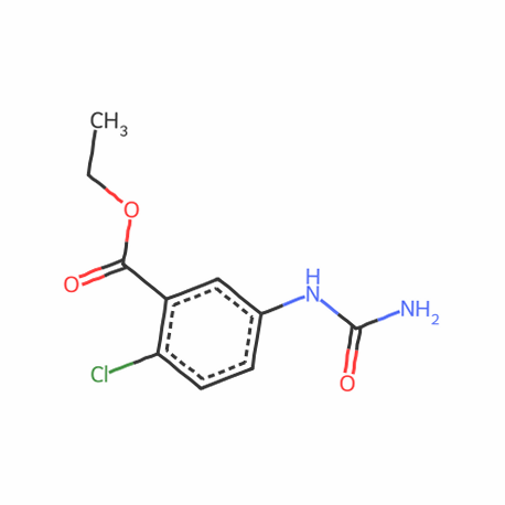 CCOC(=O)c1cc(NC(N)=O)ccc1Cl